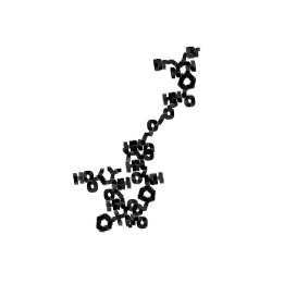 C/C(=C\C(NC(=O)CNC(=O)[C@@H](N(C)C(=O)OCc1ccc(NC(=O)CNC(=O)C(NC(=O)CCOCCOCCNC(=O)c2ccc3nc(CBr)c(CBr)nc3c2)C(C)C)cc1)C(C)(C)c1ccccc1)C(C)C)C(=O)O